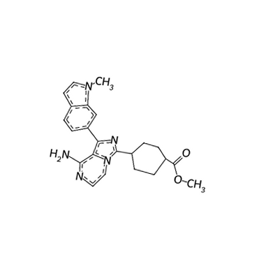 COC(=O)C1CCC(c2nc(-c3ccc4ccn(C)c4c3)c3c(N)nccn23)CC1